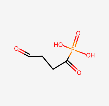 O=CCCC(=O)P(=O)(O)O